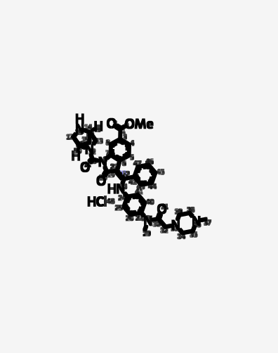 COC(=O)c1ccc2c(c1)N(C(=O)N1C[C@@H]3C[C@H]1CN3)C(=O)/C2=C(\Nc1ccc(N(C)C(=O)CN2CCN(C)CC2)cc1)c1ccccc1.Cl